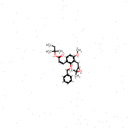 CCC(C)(C)OC(=O)/C=C\c1ccc(OC)c(CC2OC2(C)C)c1OCc1ccccc1